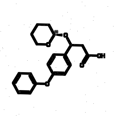 O=C(O)CC(O[C@H]1CCCCO1)c1ccc(Oc2ccccc2)cc1